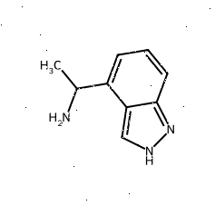 CC(N)c1cccc2n[nH]cc12